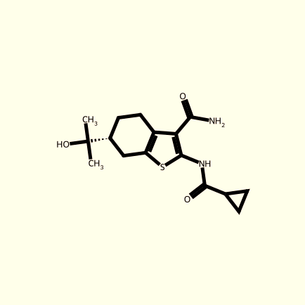 CC(C)(O)[C@@H]1CCc2c(sc(NC(=O)C3CC3)c2C(N)=O)C1